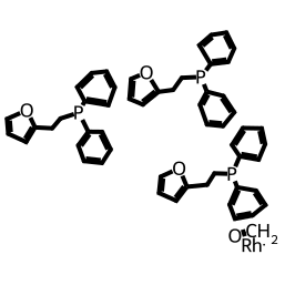 C=O.[Rh].c1ccc(P(CCc2ccco2)c2ccccc2)cc1.c1ccc(P(CCc2ccco2)c2ccccc2)cc1.c1ccc(P(CCc2ccco2)c2ccccc2)cc1